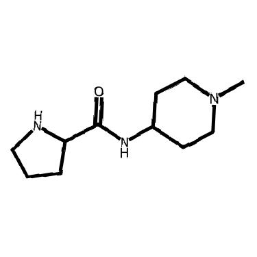 CN1CCC(NC(=O)C2CCCN2)CC1